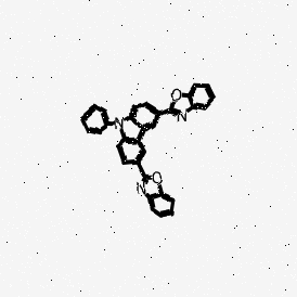 c1ccc(-n2c3ccc(-c4nc5ccccc5o4)cc3c3cc(-c4nc5ccccc5o4)ccc32)cc1